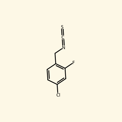 Fc1cc(Cl)ccc1CN=C=S